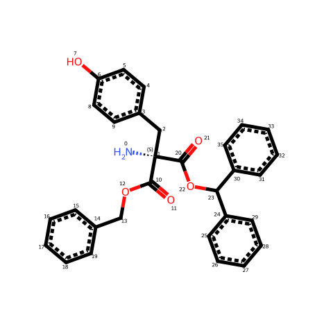 N[C@@](Cc1ccc(O)cc1)(C(=O)OCc1ccccc1)C(=O)OC(c1ccccc1)c1ccccc1